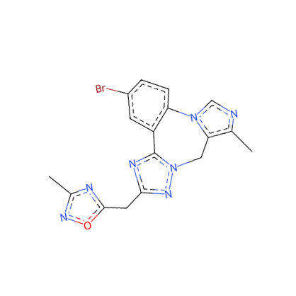 Cc1noc(Cc2nc3n(n2)Cc2c(C)ncn2-c2ccc(Br)cc2-3)n1